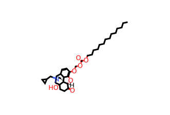 CCCCCCCCCCCCCCOC(=O)OCOC1=C2O[C@H]3C(=O)CC[C@@]4(O)C5CC(C=C1)C2[C@@]34CCN5CC1CC1